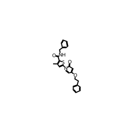 Cc1cc(-n2ccc(OCCc3ccccc3)cc2=O)sc1C(=O)NCc1ccccc1